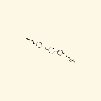 CCCCc1ccc([C@H]2CC[C@H](CC[C@H]3CC[C@H](C=CC#N)CC3)CC2)cc1